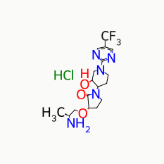 C[C@H](N)CO[C@@H]1CCN([C@@H]2CCN(c3ncc(C(F)(F)F)cn3)C[C@@H]2O)C1=O.Cl